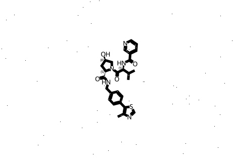 Cc1ncsc1-c1ccc(CNC(=O)[C@@H]2C[C@@H](O)CN2C(=O)[C@@H](NC(=O)c2cccnc2)C(C)C)cc1